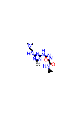 CCc1nc(NCCN(C)C)nc(Nc2nnc(C(=O)NC3CC3)o2)n1